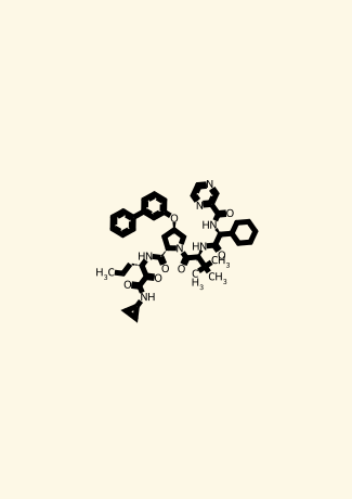 CCC[C@H](NC(=O)[C@@H]1C[C@@H](Oc2cccc(-c3ccccc3)c2)CN1C(=O)[C@@H](NC(=O)[C@@H](NC(=O)c1cnccn1)C1CCCCC1)C(C)(C)C)C(=O)C(=O)NC1CC1